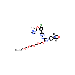 COCCOCCOCCOCCOCCOc1nn(C2CCC(N3[C@@H]4CC[C@H]3COC4)CC2)cc1Nc1ncc(-c2ccc(Cl)c(O[C@@H](C)Cn3cncn3)c2)cn1